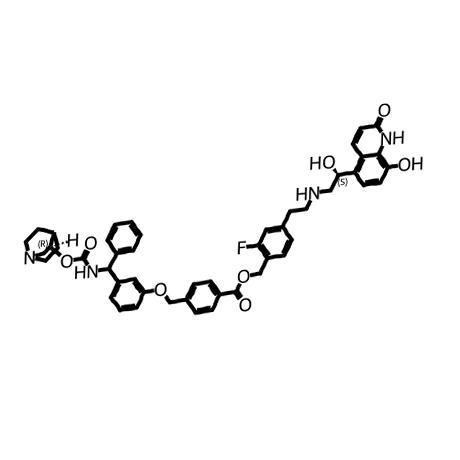 O=C(NC(c1ccccc1)c1cccc(OCc2ccc(C(=O)OCc3ccc(CCNC[C@@H](O)c4ccc(O)c5[nH]c(=O)ccc45)cc3F)cc2)c1)O[C@H]1CN2CCC1CC2